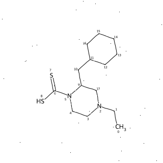 CCN1CCN(C(=S)S)C(CC2CCCCC2)C1